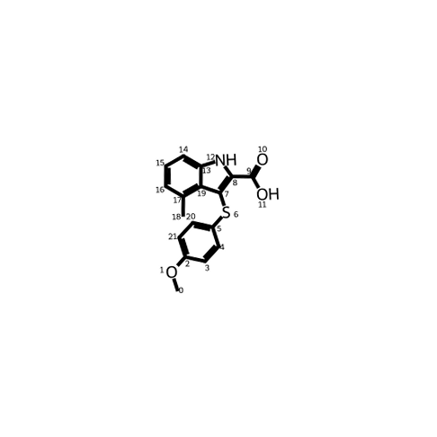 COc1ccc(Sc2c(C(=O)O)[nH]c3cccc(C)c23)cc1